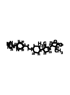 C=C1C(C2CCN(CCc3ccc(-n4cnnn4)nc3)CC2)CCN1C1COC(=O)C1C